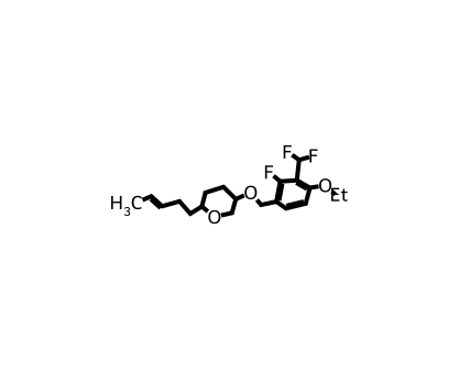 C/C=C/CCC1CCC(OCc2ccc(OCC)c(C(F)F)c2F)CO1